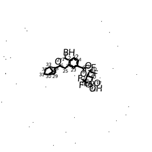 BCc1ccc(C(=O)OC(CS(=O)(=O)O)(C(F)(F)F)C(F)(F)F)cc1CC(=O)C1CC2CCC1C2